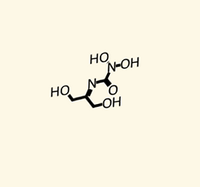 O=C(N=C(CO)CO)N(O)O